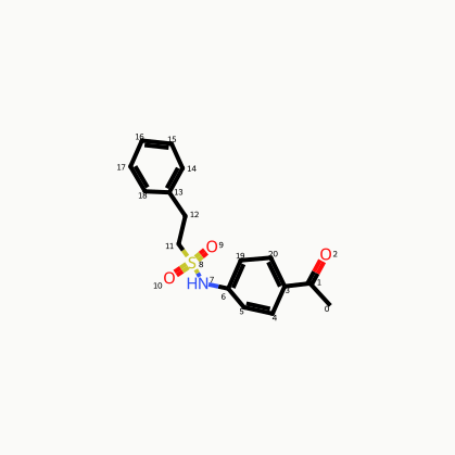 CC(=O)c1ccc(NS(=O)(=O)CCc2ccccc2)cc1